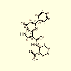 O=C(N[C@H]1CCCC[C@H]1C(=O)O)c1c[nH]n2c(=O)cc(-c3ccccc3)nc12